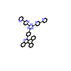 c1ccc(-c2ccc(-c3nc(-c4ccc(-c5nc6ccccc6c6c7ccccc7c7ccccc7c56)cc4)nc(-c4ccc(-c5ccccn5)cn4)n3)nc2)nc1